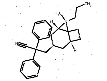 CCC[N+]1(C)[C@H]2C[C@H](CC(C#N)(c3ccccc3)c3ccccc3)C[C@@H]3CCC321